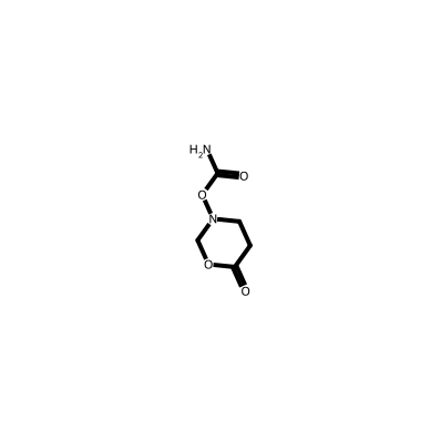 NC(=O)ON1CCC(=O)OC1